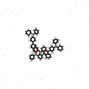 c1ccc(N(c2ccccc2)c2ccc(-c3ccc4cc(N(c5ccccc5)c5cccc(-c6ccc(-c7ccc(N(c8ccccc8)c8ccccc8)cc7)c7ccccc67)c5N(c5ccccc5)c5ccccc5)ccc4c3)cc2)cc1